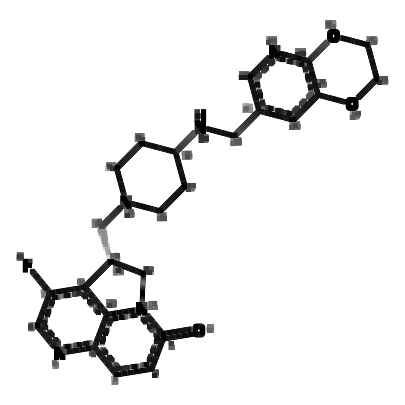 O=c1ccc2ncc(F)c3c2n1C[C@H]3CN1CCC(NCc2cnc3c(c2)OCCO3)CC1